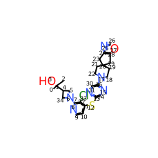 CC(C)(O)C1CN(c2nccc(Sc3cnc(N4CCC5(CC4)Cc4ncoc4C5)cn3)c2Cl)C1